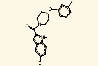 Cc1cccc(ON2CCN(C(=O)c3cc4cc(Cl)ccc4[nH]3)CC2)c1